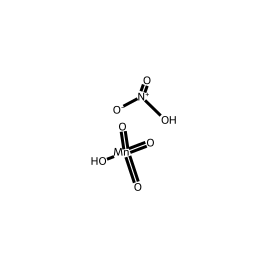 O=[N+]([O-])O.[O]=[Mn](=[O])(=[O])[OH]